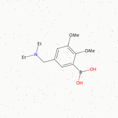 CCN(CC)Cc1cc(OC)c(OC)c(B(O)O)c1